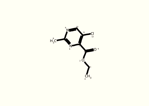 CCOC(=O)c1nc(C)ncc1Cl